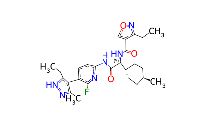 CCc1nocc1C(=O)N[C@H](C(=O)Nc1ccc(-c2c(C)n[nH]c2CC)c(F)n1)[C@H]1CC[C@H](C)CC1